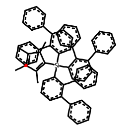 CC1=C(C)C(C)C([Si](c2cccc(-c3ccccc3)c2-c2ccccc2)(c2cccc(-c3ccccc3)c2-c2ccccc2)c2cccc(-c3ccccc3)c2-c2ccccc2)=C1C